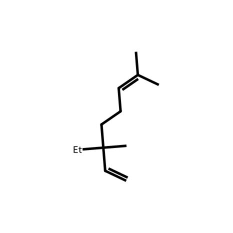 C=CC(C)(CC)CCC=C(C)C